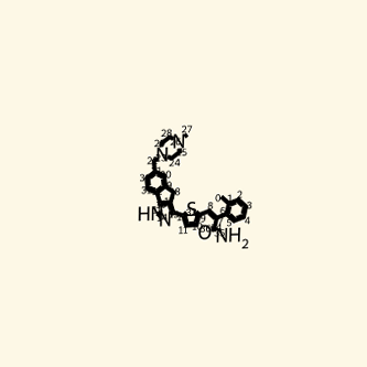 Cc1ccccc1C(=Cc1ccc(-c2n[nH]c3c2Cc2cc(CN4CCN(C)CC4)ccc2-3)s1)C(N)=O